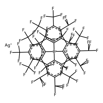 FC(F)(F)c1c([B-](c2c(C(F)(F)F)c(C(F)(F)F)c(C(F)(F)F)c(C(F)(F)F)c2C(F)(F)F)(c2c(C(F)(F)F)c(C(F)(F)F)c(C(F)(F)F)c(C(F)(F)F)c2C(F)(F)F)c2c(C(F)(F)F)c(C(F)(F)F)c(C(F)(F)F)c(C(F)(F)F)c2C(F)(F)F)c(C(F)(F)F)c(C(F)(F)F)c(C(F)(F)F)c1C(F)(F)F.[Ag+]